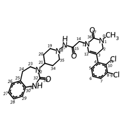 CN1CC(c2cccc(Cl)c2Cl)=CN(CC(=O)NN2CCC(N3CCc4ccccc4NC3=O)CC2)C1=O